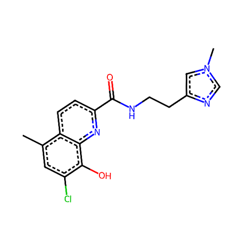 Cc1cc(Cl)c(O)c2nc(C(=O)NCCc3cn(C)cn3)ccc12